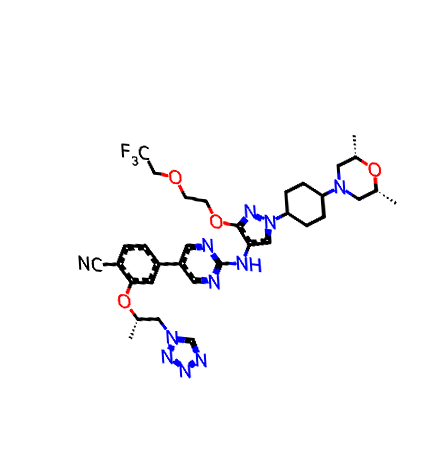 C[C@@H]1CN(C2CCC(n3cc(Nc4ncc(-c5ccc(C#N)c(O[C@@H](C)Cn6cnnn6)c5)cn4)c(OCCOCC(F)(F)F)n3)CC2)C[C@H](C)O1